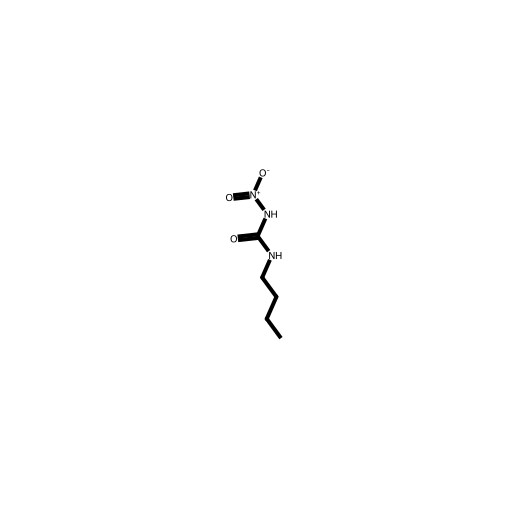 CCCCNC(=O)N[N+](=O)[O-]